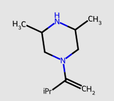 C=C(C(C)C)N1CC(C)NC(C)C1